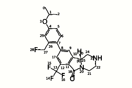 CC(C)Oc1ccc(-c2cc3c(c(C(F)(F)F)c2)C(=O)N2CCNC[C@@H]32)c(CF)c1